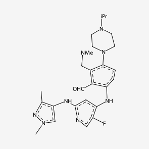 CNCc1c(N2CCN(C(C)C)CC2)ccc(Nc2cc(Nc3cn(C)nc3C)ncc2F)c1C=O